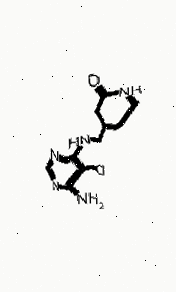 Nc1ncnc(NCC2CCNC(=O)C2)c1Cl